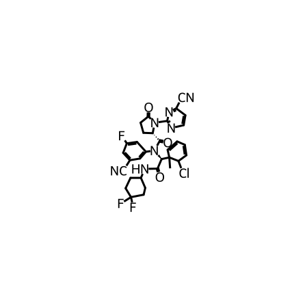 CC1([C@@H](C(=O)NC2CCC(F)(F)CC2)N(C(=O)[C@@H]2CCC(=O)N2c2nccc(C#N)n2)c2cc(F)cc(C#N)c2)C=CC=CC1Cl